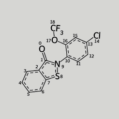 O=c1c2ccccc2sn1-c1ccc(Cl)cc1OC(F)(F)F